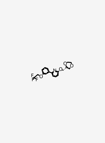 FC(F)(F)COc1cccc(-c2cccc(OC[C@H]3COCCO3)n2)c1